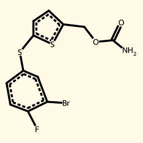 NC(=O)OCc1ccc(Sc2ccc(F)c(Br)c2)s1